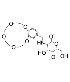 COC1OC(CO)C(OC)C(O)C1NCc1ccc2c(c1)OCCOCCOCCOCCO2